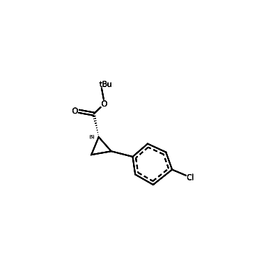 CC(C)(C)OC(=O)[C@H]1CC1c1ccc(Cl)cc1